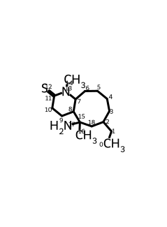 CCC1CCCCC2C(CCC(=S)N2C)C(C)(N)C1